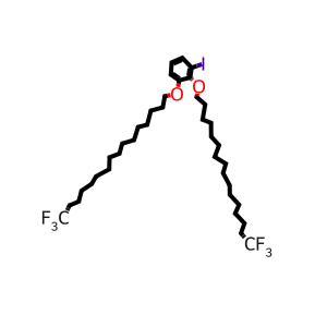 FC(F)(F)CCCCCCCCCCCCCCCOc1cccc(I)c1OCCCCCCCCCCCCCCCC(F)(F)F